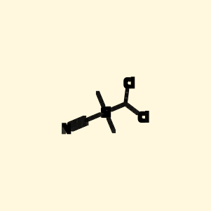 C[Si](C)(C#N)C(Cl)Cl